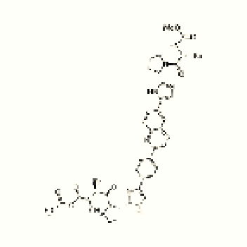 COC(=O)N[C@@H](C(=O)N1CCC[C@H]1c1ncc(-c2ccc3nc(-c4ccc(-c5c[nH]c([C@@H]6CCCN6C(=O)[C@H](C(C)C)N(C)C(=O)OC(=O)C(F)(F)F)n5)cc4)cnc3c2)[nH]1)C(C)(C)C